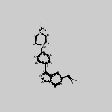 C=Cc1ccc2snc(-c3ccc(N4CCN(C)CC4)cc3)c2c1